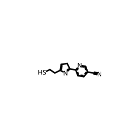 N#Cc1ccc(C2=NC(CCS)=CC2)nc1